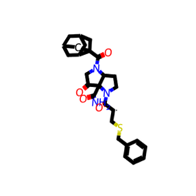 NC(=O)C12C(=O)CN(C(=O)C34CC5CC(CC3C5)C4)C1CCN2C(=O)[CH]CSCc1ccccc1